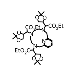 CCOC(=O)C(C1COC(C)(C)O1)N1CCN(C(C(=O)OCC)C2COC(C)(C)O2)Cc2cccc(n2)CN(C(C(=O)OCC)C2COC(C)(C)O2)CC1